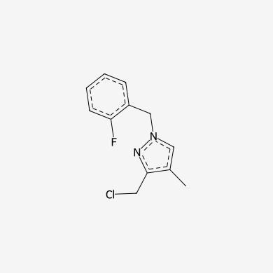 Cc1cn(Cc2ccccc2F)nc1CCl